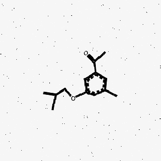 CC(=O)c1cc(C)cc(OCC(C)C)c1